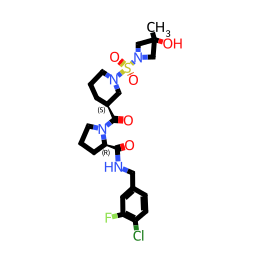 CC1(O)CN(S(=O)(=O)N2CCC[C@H](C(=O)N3CCC[C@@H]3C(=O)NCc3ccc(Cl)c(F)c3)C2)C1